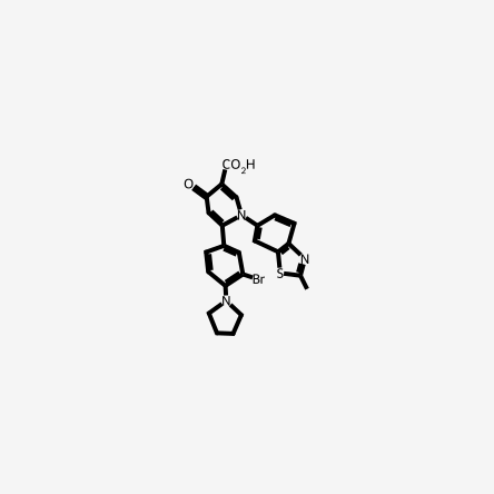 Cc1nc2ccc(-n3cc(C(=O)O)c(=O)cc3-c3ccc(N4CCCC4)c(Br)c3)cc2s1